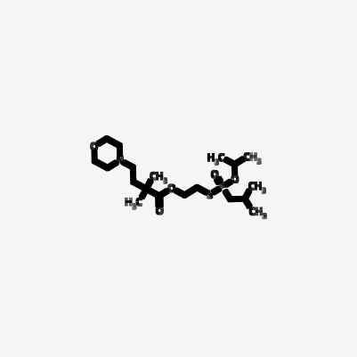 CC(C)CP(=O)(OC(C)C)SCCOC(=O)C(C)(C)CCN1CCOCC1